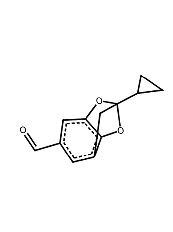 O=Cc1cc2c3c(c1)OC(C1CC1)(C2)O3